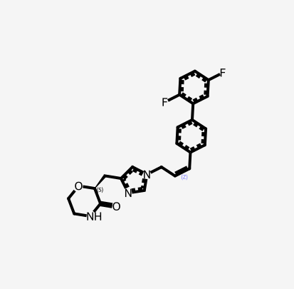 O=C1NCCO[C@H]1Cc1cn(C/C=C\c2ccc(-c3cc(F)ccc3F)cc2)cn1